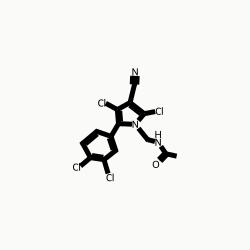 CC(=O)NCn1c(Cl)c(C#N)c(Cl)c1-c1ccc(Cl)c(Cl)c1